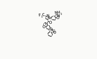 CS(=O)(=O)c1ccccc1-c1ccc2c(c1)OCCN2C(=O)c1cc(C(F)(F)F)nn1-c1ccc2onc(N)c2c1